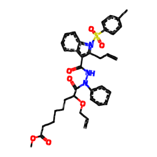 C=CCOC(CCCCCC(=O)OC)C(=O)N(NC(=O)c1c(CC=C)n(S(=O)(=O)c2ccc(C)cc2)c2ccccc12)c1ccccc1